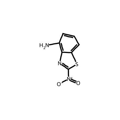 Nc1cccc2sc([N+](=O)[O-])nc12